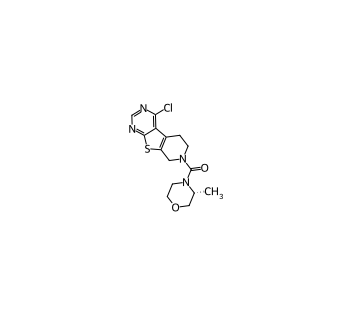 C[C@@H]1COCCN1C(=O)N1CCc2c(sc3ncnc(Cl)c23)C1